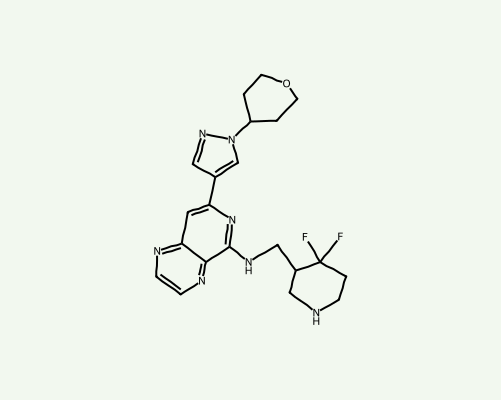 FC1(F)CCNCC1CNc1nc(-c2cnn(C3CCOCC3)c2)cc2nccnc12